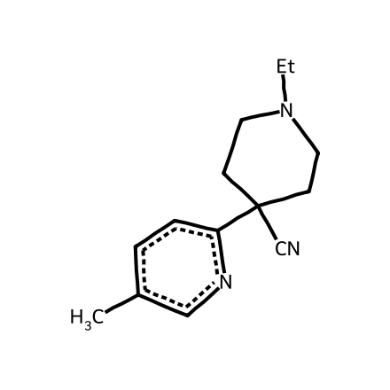 CCN1CCC(C#N)(c2ccc(C)cn2)CC1